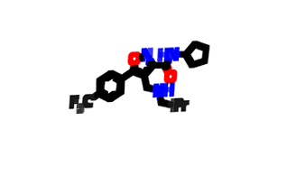 CC(C)CNCc1c(C(=O)NC2CCCC2)noc1-c1ccc(C(F)(F)F)cc1